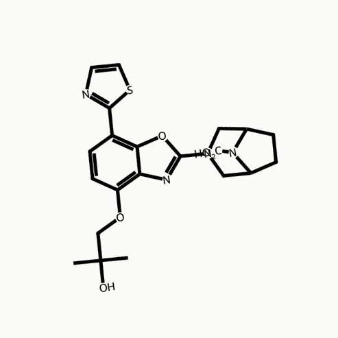 CC(C)(O)COc1ccc(-c2nccs2)c2oc(N3CC4CCC(C3)N4C(=O)O)nc12